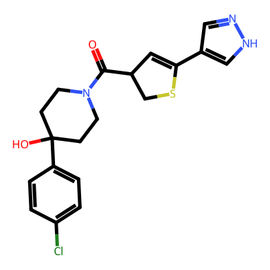 O=C(C1C=C(c2cn[nH]c2)SC1)N1CCC(O)(c2ccc(Cl)cc2)CC1